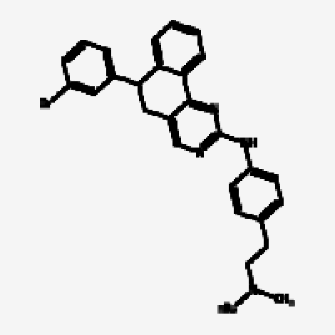 CCCCN(C)CCc1ccc(Nc2ncc3c(n2)-c2ccccc2C(c2cccc(Br)c2)C3)cc1